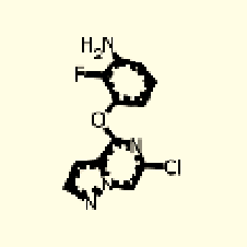 Nc1cccc(Oc2nc(Cl)cn3nccc23)c1F